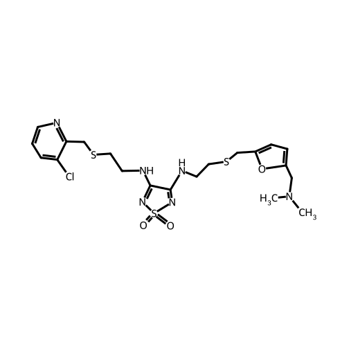 CN(C)Cc1ccc(CSCCNC2=NS(=O)(=O)N=C2NCCSCc2ncccc2Cl)o1